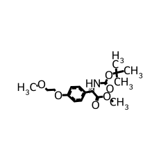 COCCOc1ccc([C@H](NC(=O)OC(C)(C)C)C(=O)OC)cc1